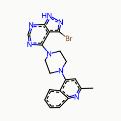 Cc1cc(N2CCN(c3ncnc4[nH]nc(Br)c34)CC2)c2ccccc2n1